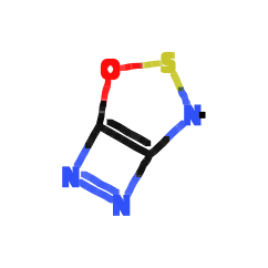 [N]1SOC2=C1N=N2